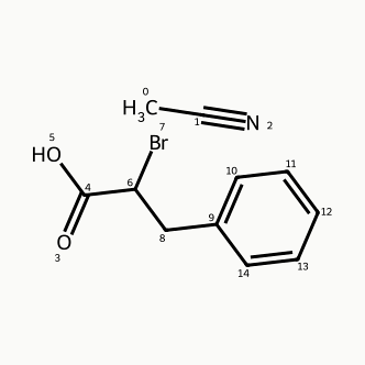 CC#N.O=C(O)C(Br)Cc1ccccc1